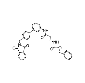 O=C(CCNC(=O)OCc1ccccc1)Nc1cccc(-c2ccc(CN3C(=O)c4ccccc4C3=O)cc2)c1